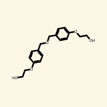 OCCOc1ccc(COCc2ccc(OCCO)cc2)cc1